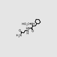 NC(=O)CCNNC(=O)C(CC1CCCCC1)NC(=O)O